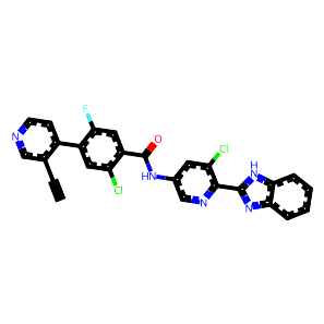 C#Cc1cnccc1-c1cc(Cl)c(C(=O)Nc2cnc(-c3nc4ccccc4[nH]3)c(Cl)c2)cc1F